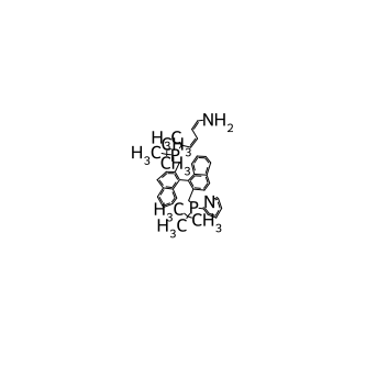 CC(/C=C\C=C/N)P(Cc1ccc2ccccc2c1-c1c(CP(c2ccccn2)C(C)(C)C)ccc2ccccc12)C(C)(C)C